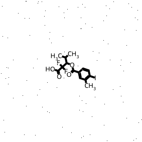 Cc1cc(C(=O)OC(C(C)C)C(F)(F)C(=O)O)ccc1I